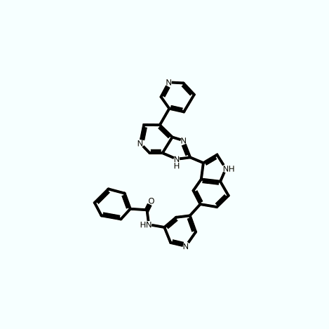 O=C(Nc1cncc(-c2ccc3[nH]cc(-c4nc5c(-c6cccnc6)cncc5[nH]4)c3c2)c1)c1ccccc1